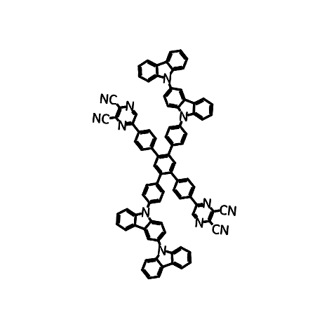 N#Cc1ncc(-c2ccc(-c3cc(-c4ccc(-n5c6ccccc6c6cc(-n7c8ccccc8c8ccccc87)ccc65)cc4)c(-c4ccc(-c5cnc(C#N)c(C#N)n5)cc4)cc3-c3ccc(-n4c5ccccc5c5cc(-n6c7ccccc7c7ccccc76)ccc54)cc3)cc2)nc1C#N